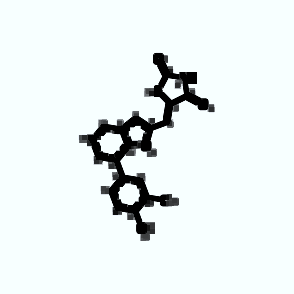 O=C1NC(=O)/C(=C/c2cc3cncc(-c4ccc(O)c(Cl)c4)c3o2)S1